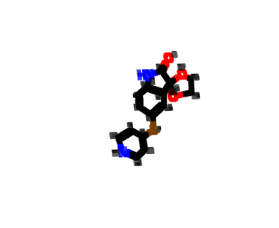 O=C1Nc2ccc(Sc3ccncc3)cc2C12OCCO2